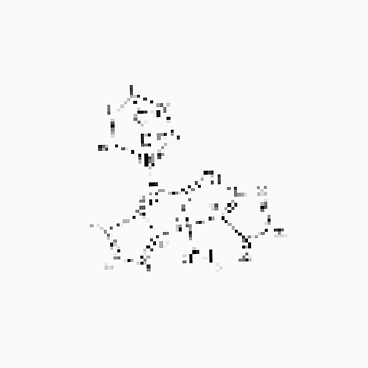 CC(C(=O)O[N+]12CCC(CC1)CC2)(c1cccs1)c1cccs1